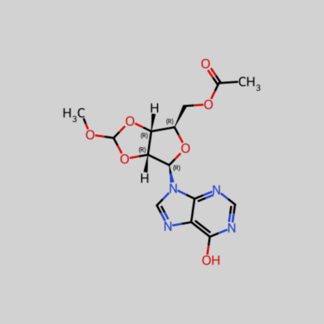 COC1O[C@@H]2[C@H](O1)[C@@H](COC(C)=O)O[C@H]2n1cnc2c(O)ncnc21